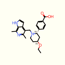 CCO[C@H]1CCN(Cc2c(C)nc(C)c3[nH]ccc23)[C@H](c2ccc(C(=O)O)cc2)C1